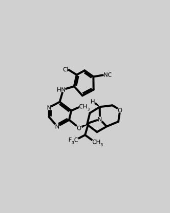 [C-]#[N+]c1ccc(Nc2ncnc(O[C@@H]3CC4COC[C@@H](C3)N4CC(C)C(F)(F)F)c2C)c(Cl)c1